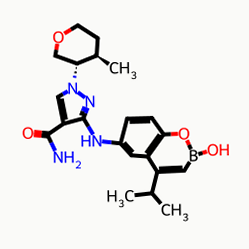 CC(C)C1=CB(O)Oc2ccc(Nc3nn([C@@H]4COCC[C@H]4C)cc3C(N)=O)cc21